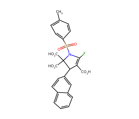 Cc1ccc(S(=O)(=O)N2C(F)=C(C(=O)O)C(c3ccc4ccccc4c3)C2(C(=O)O)C(=O)O)cc1